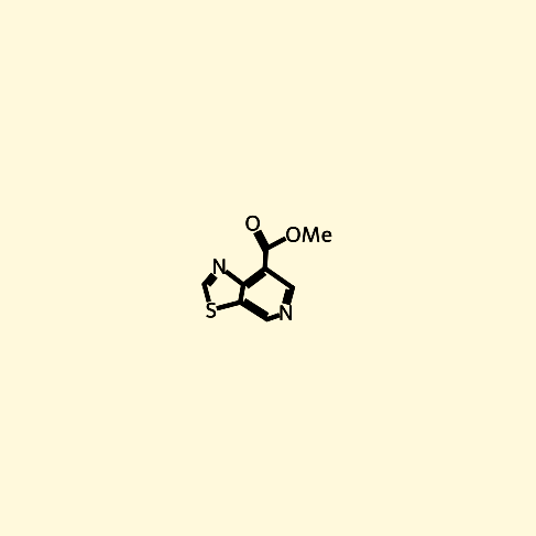 COC(=O)c1cncc2scnc12